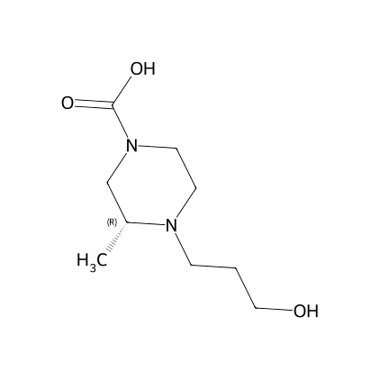 C[C@@H]1CN(C(=O)O)CCN1CCCO